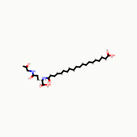 CC(=O)CNC(=O)CC[C@H](NC(=O)CCCCCCCCCCCCCCCCCCC(=O)O)C(=O)O